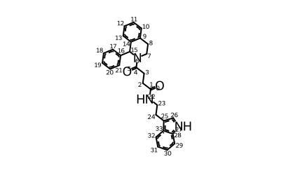 O=C(CCC(=O)N1CCc2ccccc2C1c1ccccc1)NCCc1c[nH]c2ccccc12